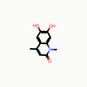 Cc1cc(=O)n(C)c2cc(O)c(O)cc12